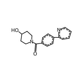 O=C(c1ccc(-c2ccccn2)cc1)N1CCC(O)CC1